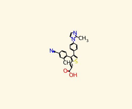 Cc1cc(C#N)ccc1-c1c(-c2ccc(-n3ccnc3C)cc2)csc1/C=C/C(=O)O